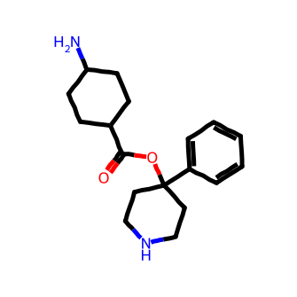 NC1CCC(C(=O)OC2(c3ccccc3)CCNCC2)CC1